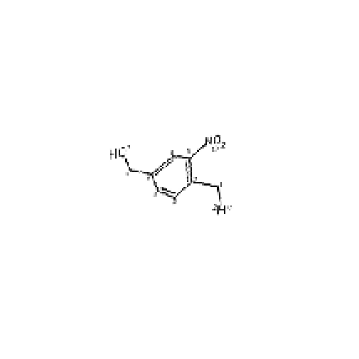 [2H]Cc1ccc(CO)cc1[N+](=O)[O-]